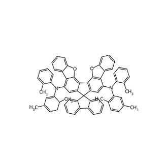 CC1=CCC(C)C(N(c2ccccc2C)c2cc3c(c4oc5ccccc5c24)-c2c(cc(N(c4ccccc4C)c4cc(C)ccc4C)c4c2oc2ccccc24)C32c3ccccc3-c3ccccc32)=C1